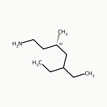 CCC(CC)C[C@@H](C)CCN